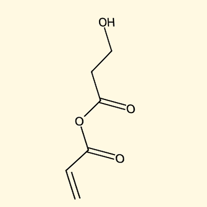 C=CC(=O)OC(=O)CCO